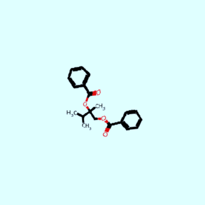 CC(C)C(C)(COC(=O)c1ccccc1)OC(=O)c1ccccc1